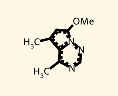 COc1cc(C)c2c(C)ncnn12